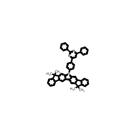 CC1(C)c2ccccc2-c2cc3c(cc21)c1cc2c(cc1n3-c1ccc(-c3cc(-c4ccccc4)nc(-c4ccccc4)n3)cc1)C(C)(C)c1ccccc1-2